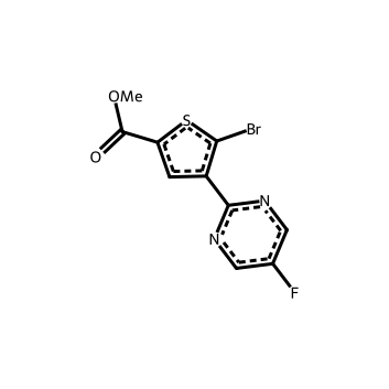 COC(=O)c1cc(-c2ncc(F)cn2)c(Br)s1